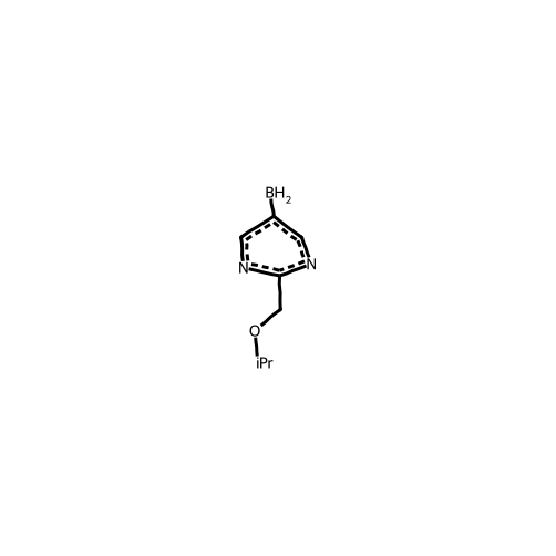 Bc1cnc(COC(C)C)nc1